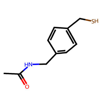 CC(=O)NCc1ccc(CS)cc1